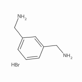 Br.NCc1cccc(CN)c1